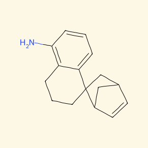 Nc1cccc2c1CCCC21CC2C=CC1C2